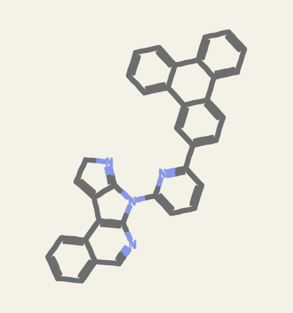 C1=c2c(n(-c3cccc(-c4ccc5c6ccccc6c6ccccc6c5c4)n3)c3ncc4ccccc4c23)=NC1